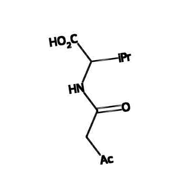 CC(=O)CC(=O)NC(C(=O)O)C(C)C